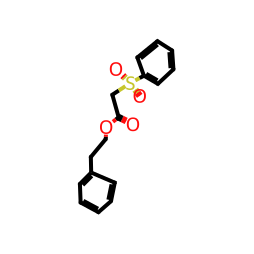 O=C(CS(=O)(=O)c1ccccc1)OCCc1ccccc1